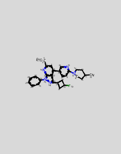 CCOC(=O)c1cc(-c2ccc(N3CCC(C#N)CC3)nc2)c2c(C3CC(F)C3)nn(-c3ccccc3)c2n1